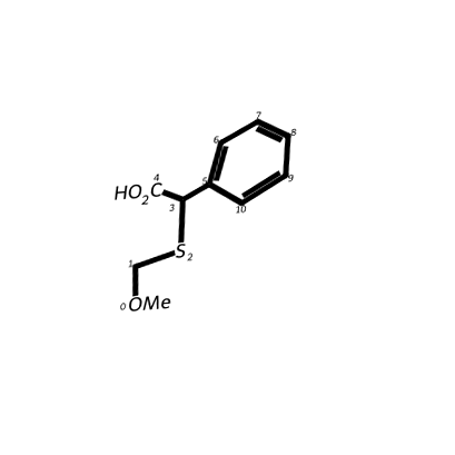 COCSC(C(=O)O)c1ccccc1